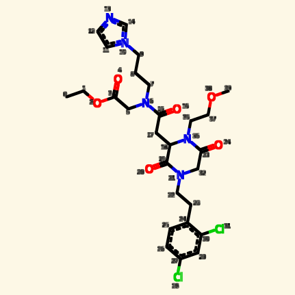 CCOC(=O)CN(CCCn1ccnc1)C(=O)CC1C(=O)N(CCc2ccc(Cl)cc2Cl)CC(=O)N1CCOC